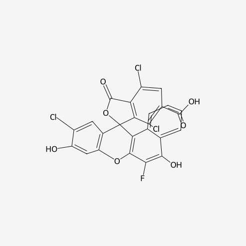 O=C(O)c1cc(Cl)c2c(c1Cl)C1(OC2=O)c2cc(Cl)c(O)cc2Oc2c(F)c(O)c3ccccc3c21